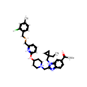 COC(=O)c1ccc2nc(CN3CCC(Oc4cccc(CSCc5ccc(C#N)cc5F)n4)CC3)n(CC3(CC#N)CC3)c2c1